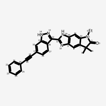 CCN1C(=O)C(C)(C)c2cc3nc(-c4n[nH]c5cc(C#Cc6ccccc6)ccc45)[nH]c3cc21